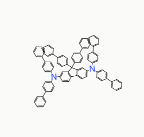 c1ccc(-c2ccc(N(c3ccc(-c4ccccc4)cc3)c3ccc4c(c3)C(c3ccc(-c5ccccc5)cc3)(c3ccc(-c5ccccc5)cc3)c3cc(N(c5ccc(-c6ccccc6)cc5)c5ccc(-c6ccccc6)cc5)ccc3-4)cc2)cc1